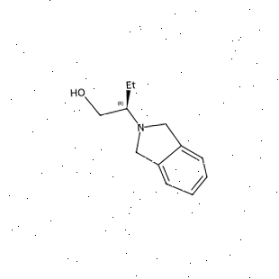 CC[C@H](CO)N1Cc2ccccc2C1